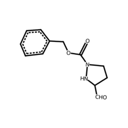 O=CC1CCN(C(=O)OCc2ccccc2)N1